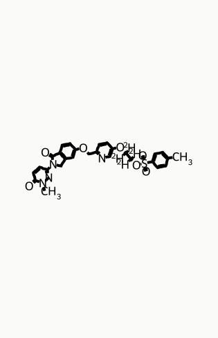 [2H]C([2H])(Oc1ccc(COc2ccc3c(c2)CN(c2ccc(=O)n(C)n2)C3=O)nc1)C([2H])([2H])OS(=O)(=O)c1ccc(C)cc1